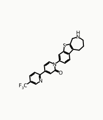 O=c1cc(-c2ccc(C(F)(F)F)cn2)ccn1-c1ccc2c3c(sc2c1)CNCCC3